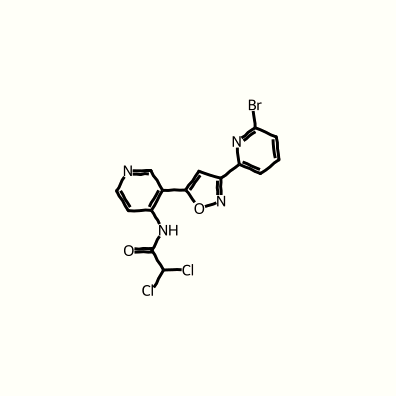 O=C(Nc1ccncc1-c1cc(-c2cccc(Br)n2)no1)C(Cl)Cl